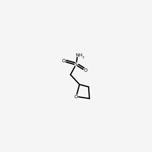 NS(=O)(=O)CC1CCO1